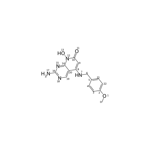 COc1ccc(CNc2cc(=O)n(O)c3nc(N)ncc23)cc1